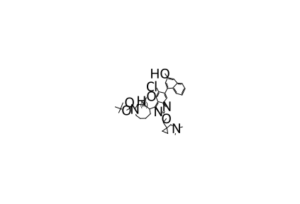 CN(C)CC1(COc2nc3c4c(c(Cl)c(-c5cc(O)cc6ccccc56)cc4n2)OC[C@H]2CN(C(=O)OC(C)(C)C)CCCCC32)CC1